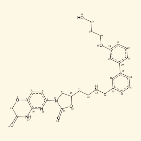 O=C1COc2ccc(N3CC(CCNCc4cccc(-c5cccc(OCCCO)c5)c4)OC3=O)nc2N1